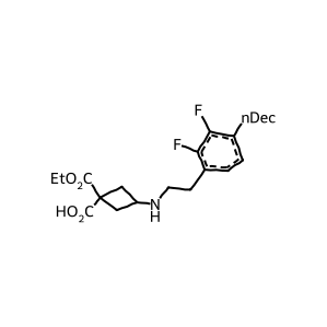 CCCCCCCCCCc1ccc(CCNC2CC(C(=O)O)(C(=O)OCC)C2)c(F)c1F